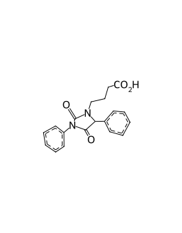 O=C(O)CCCN1C(=O)N(c2ccccc2)C(=O)C1c1ccccc1